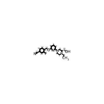 CCN1CCN(c2cccc(OCc3ccc(C#N)cc3F)n2)C[C@@H]1CO